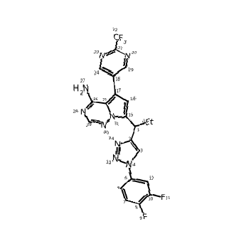 CCC(c1cn(-c2ccc(F)c(F)c2)nn1)c1cc(-c2cnc(C(F)(F)F)nc2)c2c(N)ncnn12